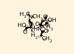 C=C(CCN(C)C)C(=O)O.C=CC(=O)NC(C)(C)CS(=O)(=O)O